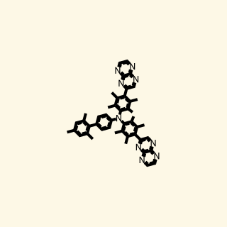 Cc1cc(C)c(-c2ccc(N(c3c(C)c(C)c(-c4cnc5nccnc5n4)c(C)c3C)c3c(C)c(C)c(-c4cnc5nccnc5n4)c(C)c3C)cc2)c(C)c1